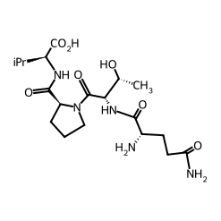 CC(C)[C@H](NC(=O)[C@@H]1CCCN1C(=O)[C@@H](NC(=O)[C@@H](N)CCC(N)=O)[C@@H](C)O)C(=O)O